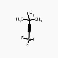 CC(C)(C)C#C[Si](F)(F)F